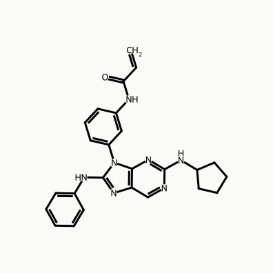 C=CC(=O)Nc1cccc(-n2c(Nc3ccccc3)nc3cnc(NC4CCCC4)nc32)c1